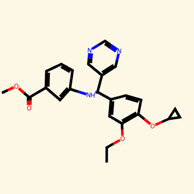 CCOc1cc(C(Nc2cccc(C(=O)OC)c2)c2cncnc2)ccc1OC1CC1